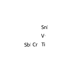 [Cr].[Sb].[Sn].[Ti].[V]